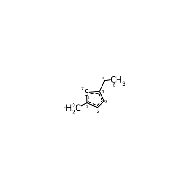 [CH2]c1ccc(CC)s1